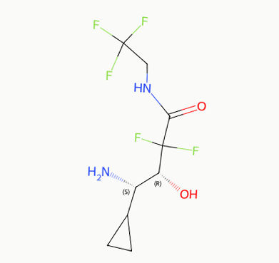 N[C@@H](C1CC1)[C@@H](O)C(F)(F)C(=O)NCC(F)(F)F